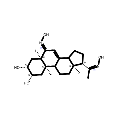 C/C(=N/O)[C@H]1CCC2C3=C/C(=N\O)[C@@H]4C[C@@H](O)[C@@H](O)C[C@]4(C)C3CC[C@@]21C